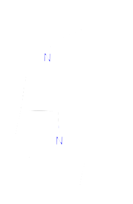 CC(C)N1CC2CCN(C(C)C)C2C1